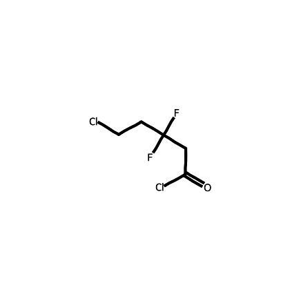 O=C(Cl)CC(F)(F)CCCl